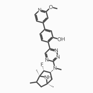 COc1cc(-c2ccc(-c3cnc(N(C)[C@@H]4C[C@@]5(C)CC(C)[C@](C)(N5)[C@@H]4F)nn3)c(O)c2)ccn1